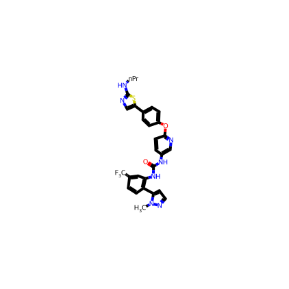 CCCNc1ncc(-c2ccc(Oc3ccc(NC(=O)Nc4cc(C(F)(F)F)ccc4-c4ccnn4C)cn3)cc2)s1